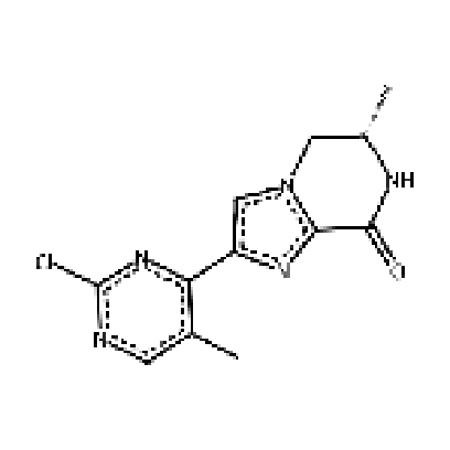 Cc1cnc(Cl)nc1-c1cn2c(n1)C(=O)N[C@@H](C)C2